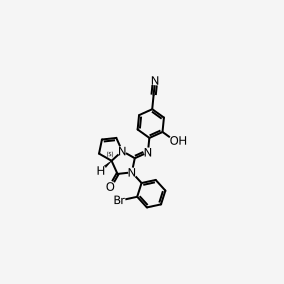 N#Cc1ccc(N=C2N(c3ccccc3Br)C(=O)[C@@H]3CC=CN23)c(O)c1